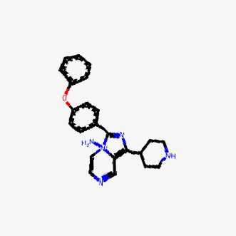 N[N+]12C=CN=CC1=C(C1CCNCC1)N=C2c1ccc(Oc2ccccc2)cc1